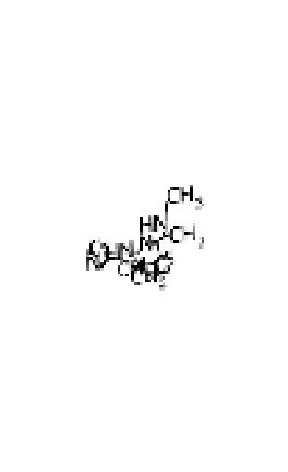 C=Nc1ccsc1/C(=N\CNC(C)c1cccnc1)C(=C)NCCC